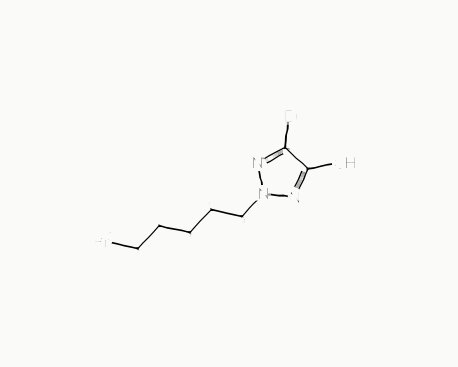 CCc1nn(CCCCCBr)nc1C